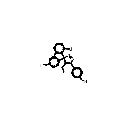 CCC1=C(c2ccc(O)cc2)N=NC1(c1ccc(O)cc1)c1c(Cl)cccc1Cl